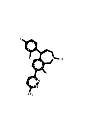 CN1CC=C(c2ccc(F)cc2F)c2ccc(-c3ccc(C(F)(F)F)nn3)c(F)c2C1